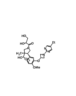 CCc1cnc(N2CC(Oc3cc([C@@H]4CN(C(=O)[C@@H](O)CO)C[C@@]4(C)[C@@H](C)O)ccc3OC)C2)nc1